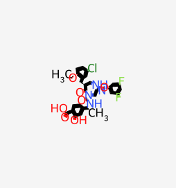 COc1ccc(Cl)cc1C[C@@H]1CN/C(=N\Oc2cc(F)cc(F)c2)CN(C(=O)N[C@H](C)c2ccc(C(=O)O)c(O)c2)C1=O